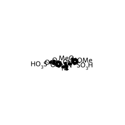 COc1cc(OC)c(S(=O)(=O)O)cc1/N=N/c1c(C)nn(-c2ccc(S(=O)(=O)CCOS(=O)(=O)O)cc2)c1O